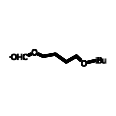 CCC(C)OCCCCO[C]=O